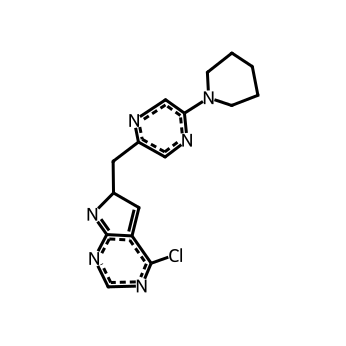 Clc1ncnc2c1=CC(Cc1cnc(N3CCCCC3)cn1)N=2